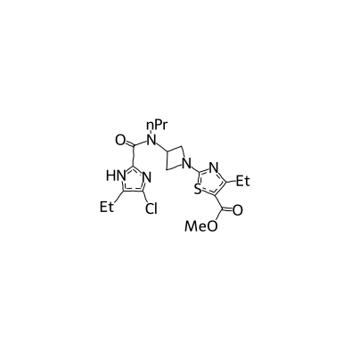 CCCN(C(=O)c1nc(Cl)c(CC)[nH]1)C1CN(c2nc(CC)c(C(=O)OC)s2)C1